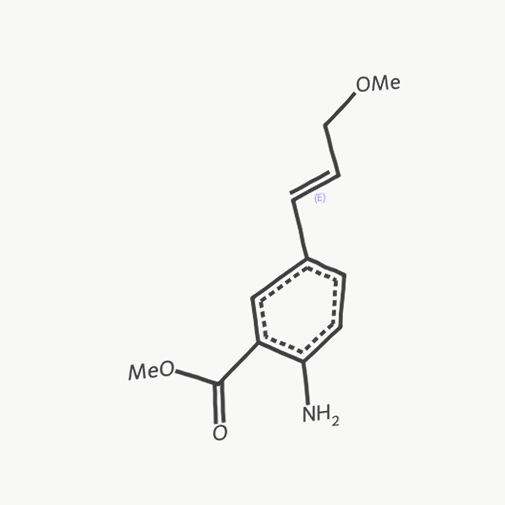 COC/C=C/c1ccc(N)c(C(=O)OC)c1